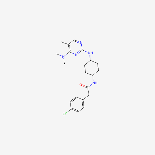 Cc1cnc(N[C@H]2CC[C@@H](NC(=O)Cc3ccc(Cl)cc3)CC2)nc1N(C)C